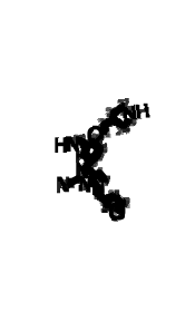 N#CC1=Nc2c(ccn2CC2CCOC2)C(c2ccc(OCCC3CCNCC3)c(C=N)c2)N1